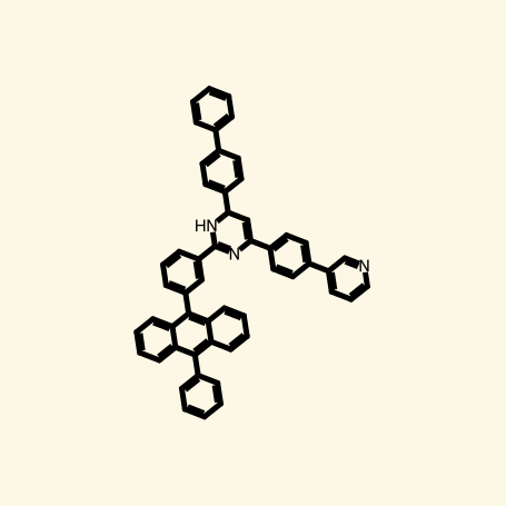 C1=C(c2ccc(-c3cccnc3)cc2)N=C(c2cccc(-c3c4ccccc4c(-c4ccccc4)c4ccccc34)c2)NC1c1ccc(-c2ccccc2)cc1